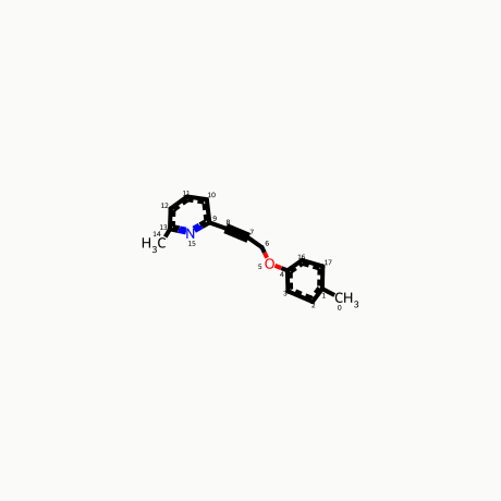 Cc1ccc(OCC#Cc2cccc(C)n2)cc1